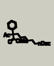 CCCCCCCCCCCCCCCCC(C(C)=O)(C(=O)OC)c1ccccc1